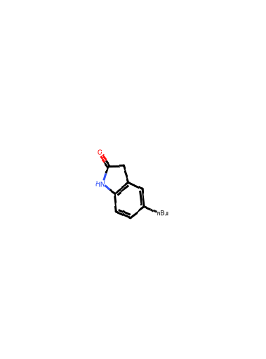 CCCCc1ccc2c(c1)CC(=O)N2